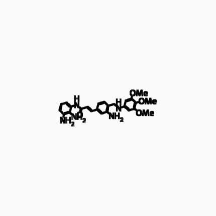 COc1cc(NCc2ccc(/C=C/C(=O)Nc3cccc(N)c3N)cc2N)cc(OC)c1OC